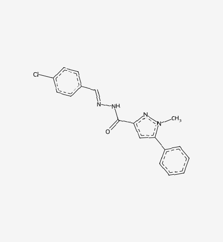 Cn1nc(C(=O)NN=Cc2ccc(Cl)cc2)cc1-c1ccccc1